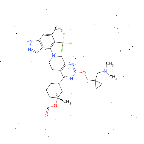 Cc1cc2[nH]ncc2c(N2CCc3c(nc(OCC4(CN(C)C)CC4)nc3N3CCC[C@@](C)(OC=O)C3)C2)c1C(F)(F)F